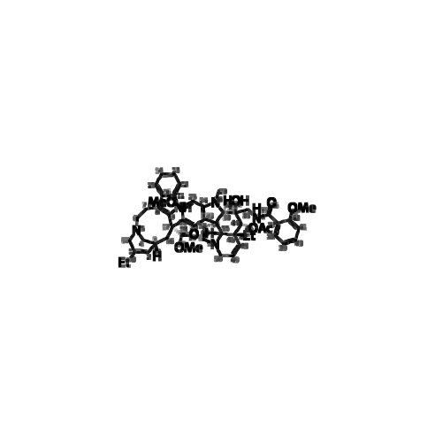 CCC1=C[C@@H]2CN(CCc3c([nH]c4ccccc34)[C@@](C(=O)OC)(c3cc4c(cc3OC)N(C)[C@H]3C(O)(CNC(=O)c5ccccc5OC)[C@H](OC(C)=O)[C@]5(CC)C=CCN6CC[C@]43[C@@H]65)C2)C1